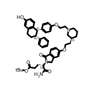 CC(C)(C)OC(=O)CC[C@@H](C(N)=O)N1Cc2cc(OCC[C@@H]3CCCN(CCOc4ccc([C@H]5c6ccc(O)cc6CC[C@H]5c5ccccc5)cc4)C3)ccc2C1=O